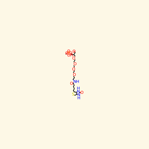 COCC(COCCOCCOCCOCCCNC(=O)CCCCC1SCC2NC(=O)NC21)COP(=O)(O)OC